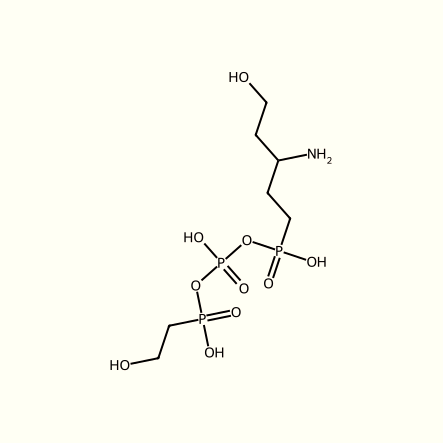 NC(CCO)CCP(=O)(O)OP(=O)(O)OP(=O)(O)CCO